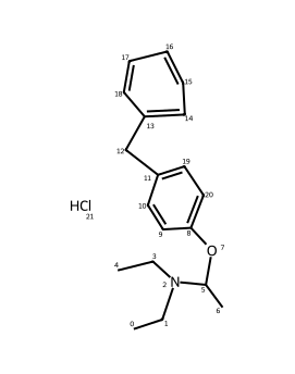 CCN(CC)C(C)Oc1ccc(Cc2ccccc2)cc1.Cl